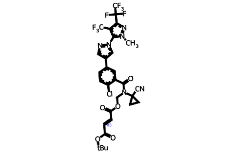 Cn1nc(C(F)(F)C(F)(F)F)c(C(F)(F)F)c1-n1cc(-c2ccc(Cl)c(C(=O)N(COC(=O)/C=C/C(=O)OC(C)(C)C)C3(C#N)CC3)c2)cn1